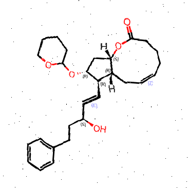 O=C1CCC/C=C\C[C@@H]2[C@@H](/C=C/[C@@H](O)CCc3ccccc3)[C@H](OC3CCCCO3)C[C@@H]2O1